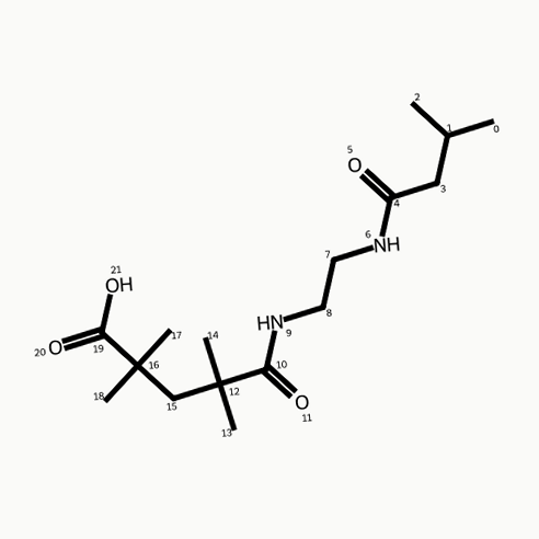 CC(C)CC(=O)NCCNC(=O)C(C)(C)CC(C)(C)C(=O)O